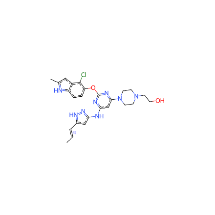 C/C=C/c1cc(Nc2cc(N3CCN(CCO)CC3)nc(Oc3ccc4[nH]c(C)cc4c3Cl)n2)n[nH]1